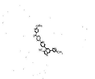 COc1ccc(C(=O)N2CCN(c3ccc(-c4cc(-c5cnn(C)c5)cc5ncc(C#N)n45)cn3)CC2)cn1